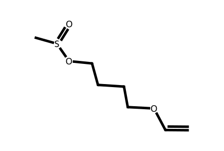 C=COCCCCOS(C)=O